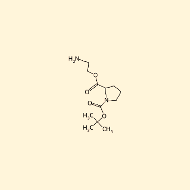 CC(C)(C)OC(=O)N1CCCC1C(=O)OCCN